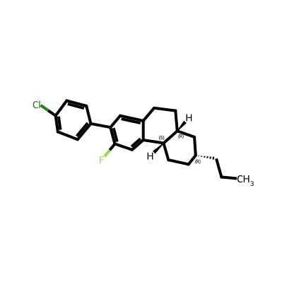 CCC[C@@H]1CC[C@@H]2c3cc(F)c(-c4ccc(Cl)cc4)cc3CC[C@@H]2C1